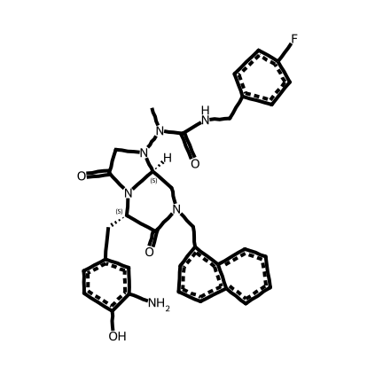 CN(C(=O)NCc1ccc(F)cc1)N1CC(=O)N2[C@@H](Cc3ccc(O)c(N)c3)C(=O)N(Cc3cccc4ccccc34)C[C@@H]21